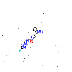 CC1CN(c2ncc(F)cn2)CC(C)N1CC(=O)N1CC=C(c2c[nH]c3ccccc23)CC1